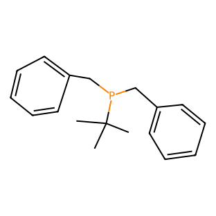 CC(C)(C)P(Cc1ccccc1)Cc1ccccc1